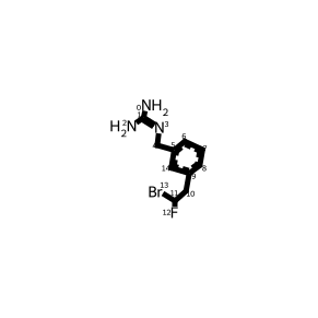 NC(N)=NCc1cccc(CC(F)Br)c1